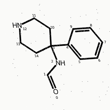 O=CNC1(c2ccccc2)CCNCC1